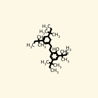 CCC(C)(C)C1=CC(C(C)(C)CC)[CH]C(CCc2cc(C(C)(C)CC)cc(C(C)(C)CC)c2O)=C1